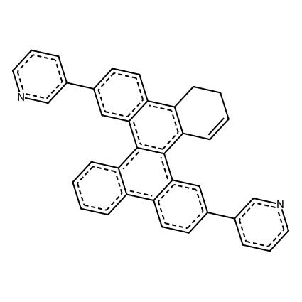 C1=Cc2c(c3ccc(-c4cccnc4)cc3c3c4ccccc4c4ccc(-c5cccnc5)cc4c23)CC1